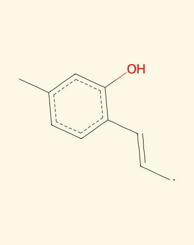 [CH2]C=Cc1ccc(C)cc1O